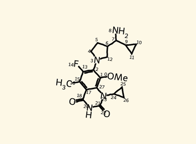 COc1c(N2CCC(C(N)C3CC3)C2)c(F)c(C)c2c(=O)[nH]c(=O)n(C3CC3)c12